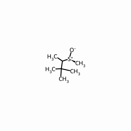 CC([S@+](C)[O-])C(C)(C)C